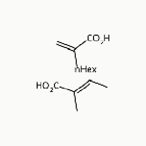 C=C(CCCCCC)C(=O)O.CC=C(C)C(=O)O